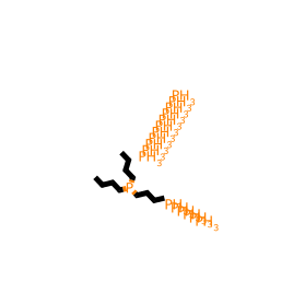 CCCCP(CCCC)CCCC.P.P.P.P.P.P.P.P.P.P.P.P.P.P.P.P.P